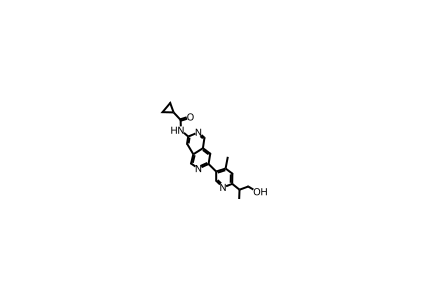 Cc1cc(C(C)CO)ncc1-c1cc2cnc(NC(=O)C3CC3)cc2cn1